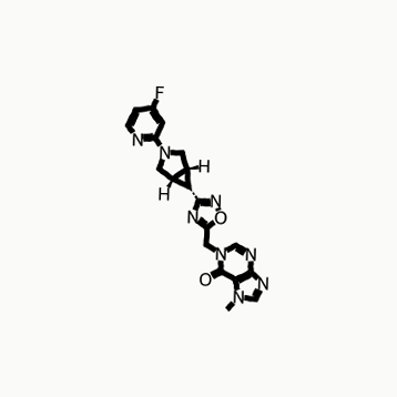 Cn1cnc2ncn(Cc3nc([C@@H]4[C@@H]5CN(c6cc(F)ccn6)C[C@@H]54)no3)c(=O)c21